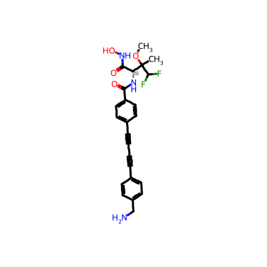 COC(C)(C(F)F)[C@H](NC(=O)c1ccc(C#CC#Cc2ccc(CN)cc2)cc1)C(=O)NO